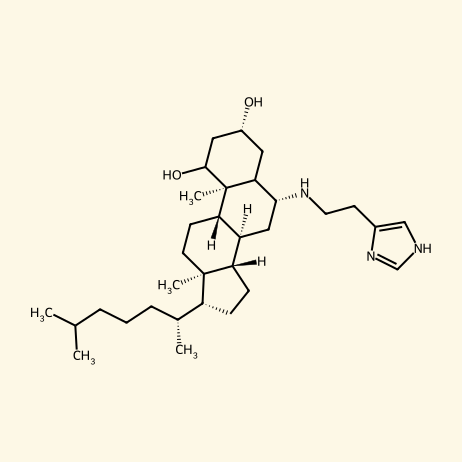 CC(C)CCC[C@@H](C)[C@H]1CC[C@H]2[C@@H]3C[C@@H](NCCc4c[nH]cn4)C4C[C@@H](O)CC(O)[C@]4(C)[C@H]3CC[C@]12C